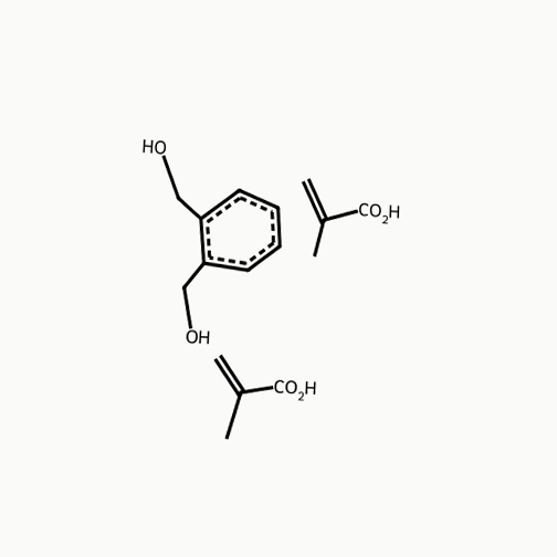 C=C(C)C(=O)O.C=C(C)C(=O)O.OCc1ccccc1CO